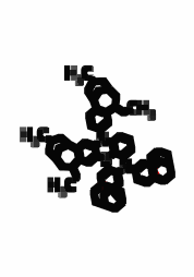 CCC1CC2CC(C)CC(C2)c2ccc(N3c4cc5c(cc4B4c6cc7c(cc6N(c6ccc8c(c6)C6CC9CC(CC8C9)C6)c6cccc3c64)C3CC4CC(CC7C4)C3)C(CC)CC3CC(C)CC5C3)cc21